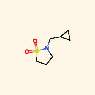 O=S1(=O)CCCN1CC1CC1